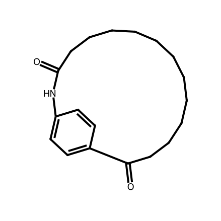 O=C1CCCCCCCCCCCC(=O)c2ccc(cc2)N1